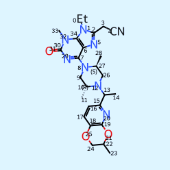 CCn1c(CC#N)nc2c(N3C[C@@H](C)N(C(C)c4ccc5c(n4)OC(C)CO5)C[C@@H]3C)nc(=O)n(C)c21